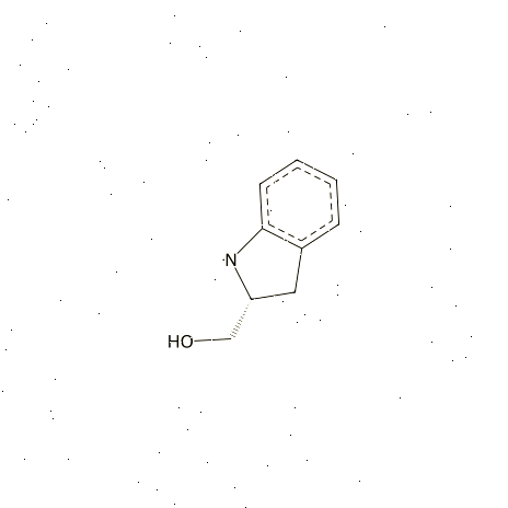 OC[C@H]1Cc2ccccc2[N]1